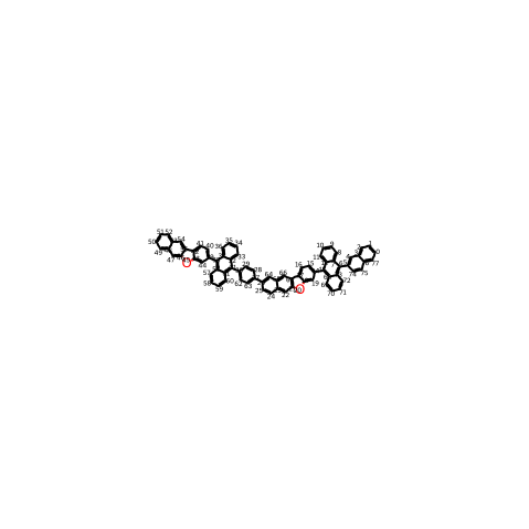 c1ccc2cc(-c3c4ccccc4c(-c4ccc5c(c4)oc4cc6ccc(-c7ccc(-c8c9ccccc9c(-c9ccc%10c(c9)oc9cc%11ccccc%11cc9%10)c9ccccc89)cc7)cc6cc45)c4ccccc34)ccc2c1